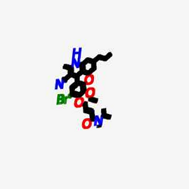 CCCC1CC(=O)C2=C(C1)NC(C)=C(C#N)C2c1cc(Br)c(OCC=CC(=O)N(C)C(C)C)c(OCC)c1